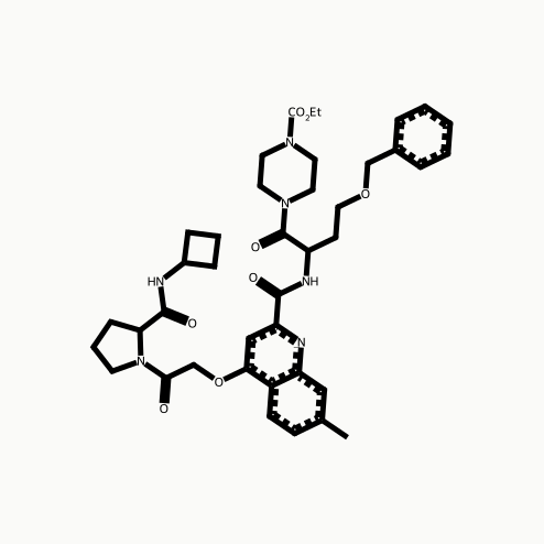 CCOC(=O)N1CCN(C(=O)C(CCOCc2ccccc2)NC(=O)c2cc(OCC(=O)N3CCCC3C(=O)NC3CCC3)c3ccc(C)cc3n2)CC1